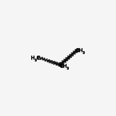 CCCCCCCCC=CCCCCCCCCCN(C)CCCCCCCCC=CCCCCCCCC